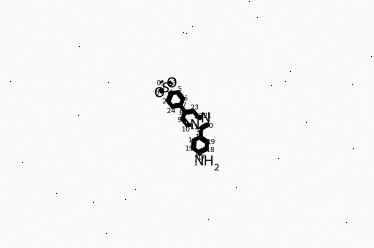 CS(=O)(=O)c1ccc(-c2ccn3c(-c4ccc(N)cc4)cnc3c2)cc1